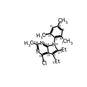 CCc1c(CC)n(-c2c(C)cc(C)cc2C)c2nc(C)nc(Cl)c12